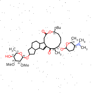 CCCC[C@H]1CCC[C@H](OC2CC[C@H](N(C)C)[C@@H](C)O2)[C@@H](C)C(=O)C2=CC3C4CC(O[C@@H]5O[C@@H](C)[C@H](O)[C@@H](OC)[C@H]5OC)CC4CCC3C2CC(=O)O1